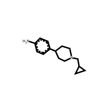 Nc1ccc(C2CCN(CC3CC3)CC2)cc1